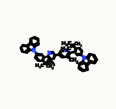 Cc1cc(-c2cnc(-c3cc(-n4c5ccccc5c5ccccc54)ccc3C(C)(C)C)c(C)c2)cnc1-c1cc(-n2c3ccccc3c3ccccc32)ccc1C(C)(C)C